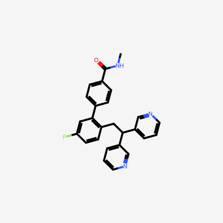 CNC(=O)c1ccc(-c2cc(F)ccc2CC(c2cccnc2)c2cccnc2)cc1